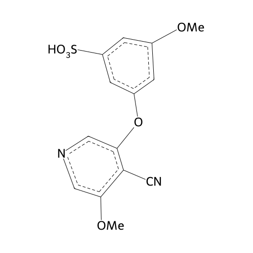 COc1cc(Oc2cncc(OC)c2C#N)cc(S(=O)(=O)O)c1